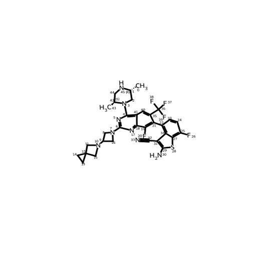 C[C@@H]1CN(c2nc(N3CC(N4CC5(CC5)C4)C3)nc3c(F)c(-c4ccc(F)c5sc(N)c(C#N)c45)c(C(F)(F)F)cc23)[C@@H](C)CN1